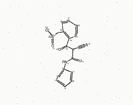 N#CC(C(=O)Nc1ccccc1)C(=O)c1ccncc1[N+](=O)[O-]